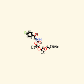 CCC(COCCOC)OCC(CC)OC(=O)NCC(=O)c1ccc(F)cc1